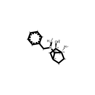 CN(Cc1ccccc1)C1C2CC[C@@H]1[C@H](O)C2